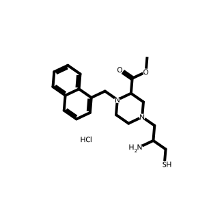 COC(=O)C1CN(CC(N)CS)CCN1Cc1cccc2ccccc12.Cl